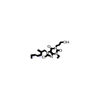 C=C(/C=C\C=C/C)Cn1c(Cl)nc2c1c(=O)n(CCCO)c(=O)n2CC